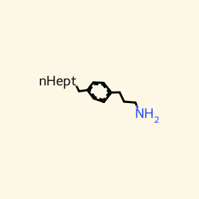 CCCCCCCCc1ccc(CCCN)cc1